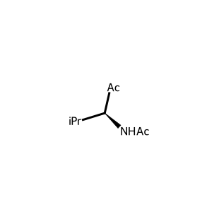 CC(=O)N[C@H](C(C)=O)C(C)C